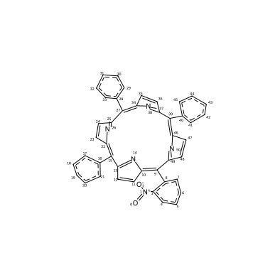 O=[N+]([O-])c1ccccc1C1=C2C=CC(=N2)C(c2ccccc2)=C2C=CC(=N2)C(c2ccccc2)=C2C=CC(=N2)C(c2ccccc2)=C2C=CC1=N2